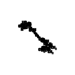 Cc1sc2c(c1C)C(c1ccc(Cl)cc1)=N[C@@H](CC(=O)Nc1ccc(OCCCOCCCCNC(=O)COc3cccc4c3C(=O)N(C3CCC(=O)NC3=O)C4O)cc1)c1nnc(C)n1-2